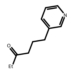 CCC(=O)CCCc1cccnc1